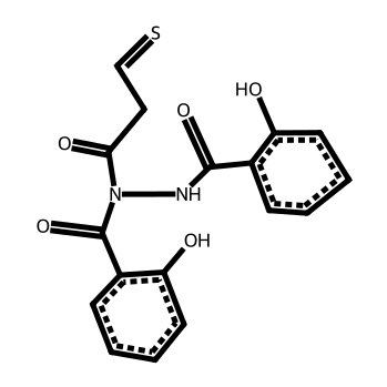 O=C(NN(C(=O)CC=S)C(=O)c1ccccc1O)c1ccccc1O